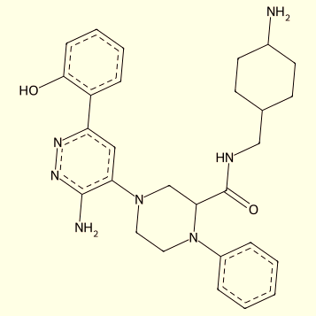 Nc1nnc(-c2ccccc2O)cc1N1CCN(c2ccccc2)C(C(=O)NCC2CCC(N)CC2)C1